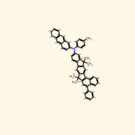 Cc1ccc(N(c2ccc3c(c2)C(C)(C)c2cc4c(cc2-3)C(C)(C)c2cc(-c3ccccc3)c3ccccc3c2-4)c2ccc3cc4c(cc3c2)C=CCC4)cc1